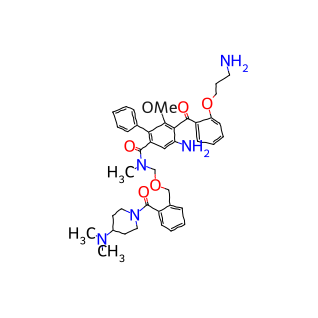 COc1c(C(=O)c2ccccc2OCCCN)c(N)cc(C(=O)N(C)COCc2ccccc2C(=O)N2CCC(N(C)C)CC2)c1-c1ccccc1